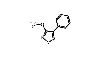 FC(F)(F)Oc1n[nH]cc1-c1ccccc1